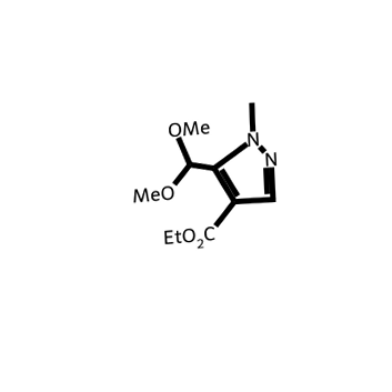 CCOC(=O)c1cnn(C)c1C(OC)OC